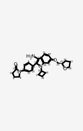 Nc1c(-c2ccc(N3CCCC3=O)cc2)n(C2CCC2)c2cc(OC[C@H]3CCCO3)ccc12